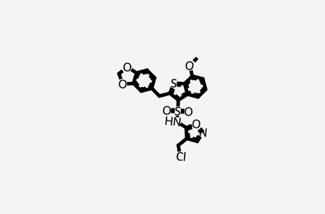 COc1cccc2c(S(=O)(=O)Nc3oncc3CCl)c(Cc3ccc4c(c3)OCO4)sc12